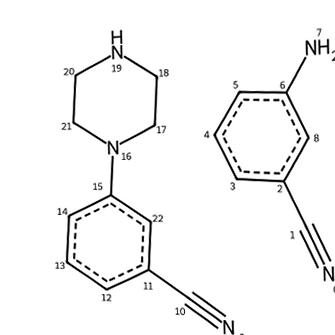 N#Cc1cccc(N)c1.N#Cc1cccc(N2CCNCC2)c1